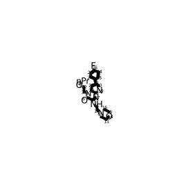 CCCOCCN1C(=O)C(NCCN2CCOCC2)=NC2N=CC(c3ccc(F)cc3)=CC21